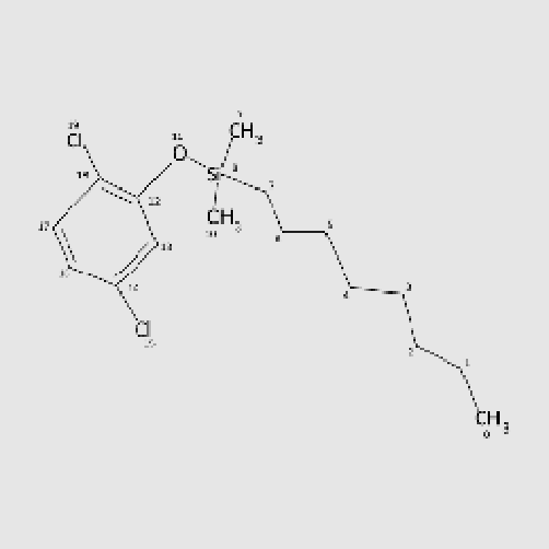 CCCCCCCC[Si](C)(C)Oc1cc(Cl)ccc1Cl